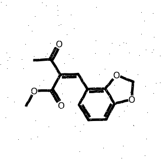 COC(=O)/C(=C\c1cccc2c1OCO2)C(C)=O